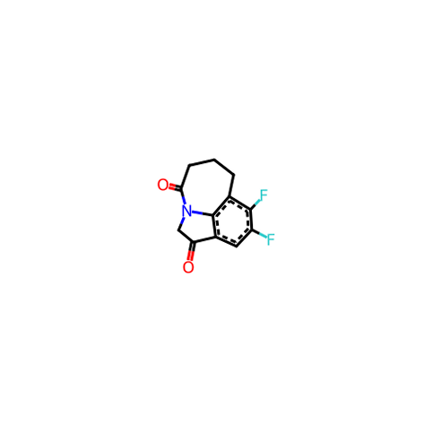 O=C1CN2C(=O)CCCc3c(F)c(F)cc1c32